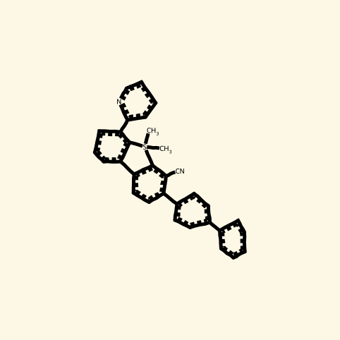 CS1(C)c2c(-c3ccccn3)cccc2-c2ccc(-c3ccc(-c4ccccc4)cc3)c(C#N)c21